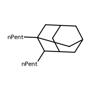 CCCCCC1C2CC3CC(C2)CC1(CCCCC)C3